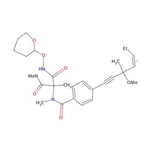 CC/C=C\C(C)(C#Cc1ccc(C(=O)N(C)C(C)(C(=O)NC)C(=O)NOC2CCCCO2)cc1)OC